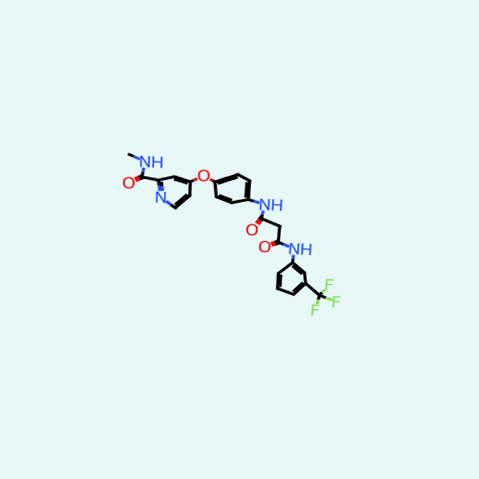 CNC(=O)c1cc(Oc2ccc(NC(=O)CC(=O)Nc3cccc(C(F)(F)F)c3)cc2)ccn1